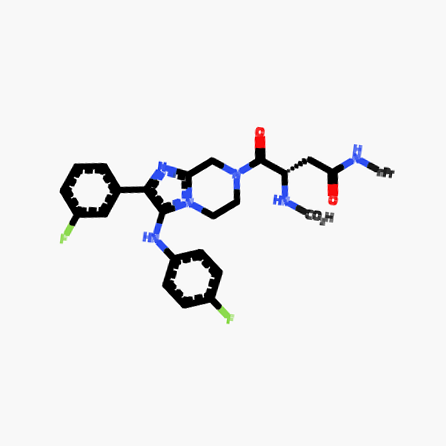 CCCNC(=O)C[C@H](NC(=O)O)C(=O)N1CCn2c(nc(-c3cccc(F)c3)c2Nc2ccc(F)cc2)C1